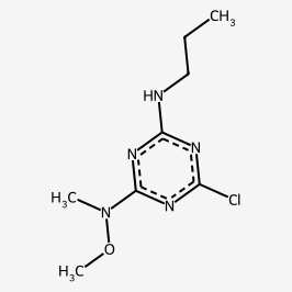 CCCNc1nc(Cl)nc(N(C)OC)n1